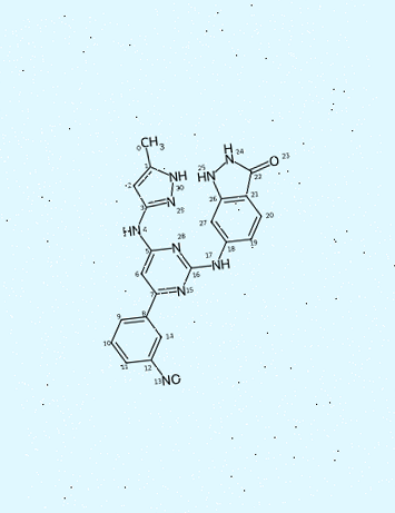 Cc1cc(Nc2cc(-c3cccc(N=O)c3)nc(Nc3ccc4c(=O)[nH][nH]c4c3)n2)n[nH]1